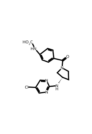 O=C(O)Nc1ccc(C(=O)N2CC[C@H](Nc3ncc(Cl)cn3)C2)cc1